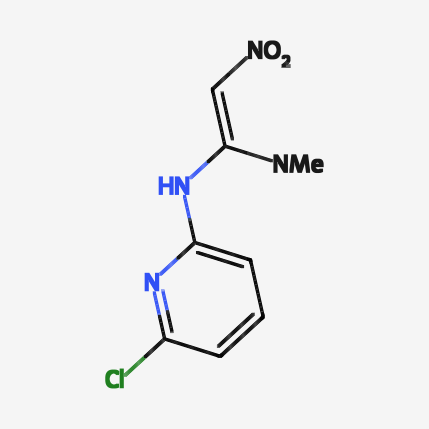 CN/C(=C\[N+](=O)[O-])Nc1cccc(Cl)n1